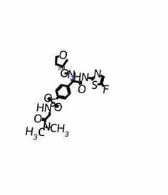 CN(C)C(=O)CNS(=O)(=O)c1ccc(/C(=N\O[C@@H]2CCOC2)C(=O)Nc2ncc(F)s2)cc1